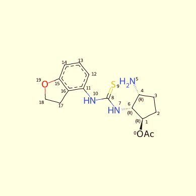 CC(=O)O[C@@H]1CC[C@@H](N)[C@H]1NC(=S)Nc1cccc2c1CCO2